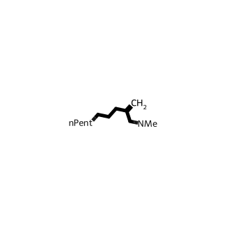 C=C(CCCCCCCC)CNC